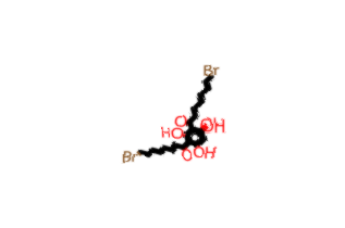 O=C(CCCCCCCBr)c1c(O)cc(O)c(C(=O)CCCCCCCBr)c1O